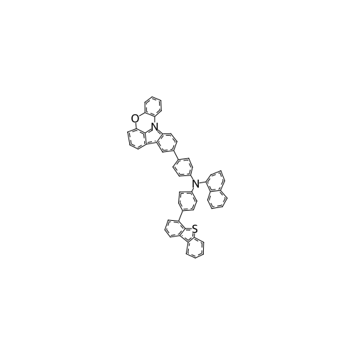 c1ccc2c(c1)Oc1cccc3c4cc(-c5ccc(N(c6ccc(-c7cccc8c7sc7ccccc78)cc6)c6cccc7ccccc67)cc5)ccc4n-2c13